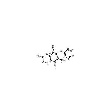 CC(C)(C)OC(=O)C1CCC(=O)CN1C(=O)OCc1ccccc1